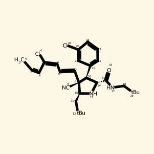 C\C=C/C(Cl)=C\C=C\[C@@]1(C#N)[C@H](CC(C)(C)C)N[C@@H](C(=O)NCC(C)(C)C)[C@@H]1c1cccc(Cl)c1